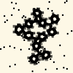 c1ccc(N(c2ccccc2)c2ccc3c(c2)c2cnccc2n3-c2ccc(-c3nccnc3-c3ccc(-n4c5ccncc5c5cc(N(c6ccccc6)c6ccccc6)ccc54)cc3)cc2)cc1